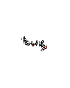 C#Cc1c(F)ccc2cc(O)cc(-c3ncc4c(N5CC6CCC(C5)N6)nc(OCC56CCC(COC(=O)NCCC(=O)Nc7cccc8c7C(=O)N(C7CCC(=O)NC7=O)C8=O)N5CC(=C)C6)nc4c3F)c12